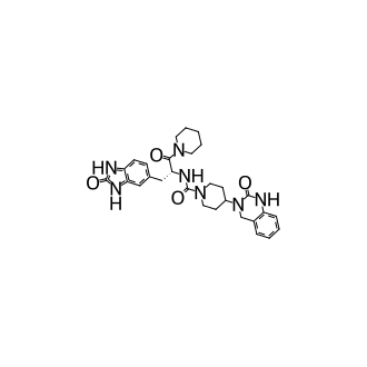 O=C(N[C@H](Cc1ccc2[nH]c(=O)[nH]c2c1)C(=O)N1CCCCC1)N1CCC(N2Cc3ccccc3NC2=O)CC1